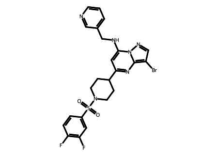 O=S(=O)(c1ccc(F)c(F)c1)N1CCC(c2cc(NCc3cccnc3)n3ncc(Br)c3n2)CC1